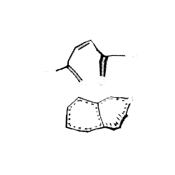 O=C(O)/C=C\C(=O)O.c1ccc2cnccc2c1